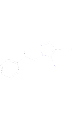 Nc1c(C(=O)O)cnn1CC(O)c1ccccc1